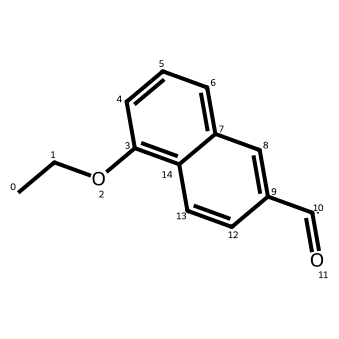 CCOc1cccc2cc([C]=O)ccc12